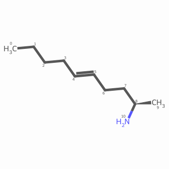 CCCCC=CCC[C@@H](C)N